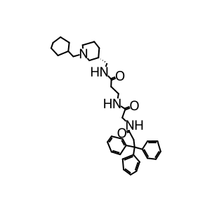 O=C(CCNC(=O)CNC(=O)CC(c1ccccc1)(c1ccccc1)c1ccccc1)NC[C@H]1CCCN(CC2CCCCC2)C1